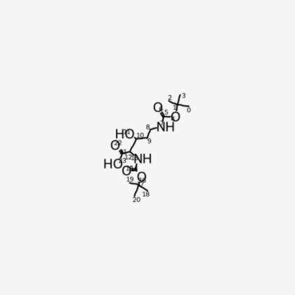 CC(C)(C)OC(=O)NCCC(O)C(NC(=O)OC(C)(C)C)C(=O)O